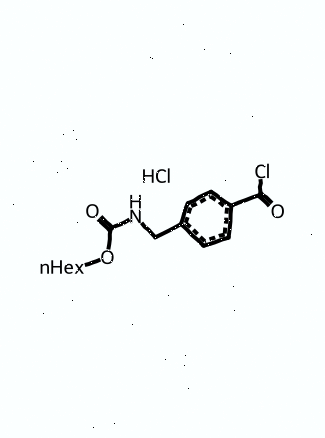 CCCCCCOC(=O)NCc1ccc(C(=O)Cl)cc1.Cl